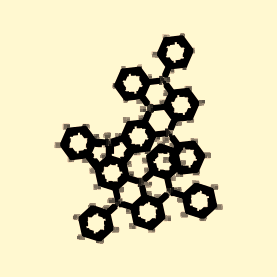 c1ccc(N2c3ccccc3B3c4cc5c(cc4N(c4ccccc4)c4cccc2c43)c2c3c(cc4c6ccccc6n5c42)N(c2ccccc2)c2cccc4c2B3c2ccccc2N4c2ccccc2)cc1